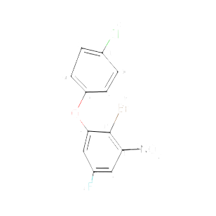 O=[N+]([O-])c1cc(F)cc(Oc2ccc(Cl)cc2)c1Br